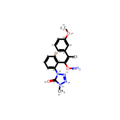 CC/C(=C(\ON)c1c(Br)cccc1-n1nnn(C)c1=O)c1cccc(OC(F)(F)F)c1